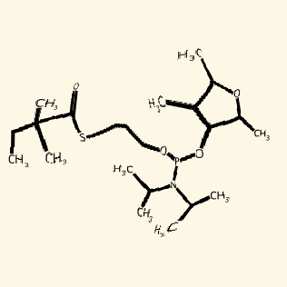 CCC(C)(C)C(=O)SCCOP(OC1C(C)OC(C)C1C)N(C(C)C)C(C)C